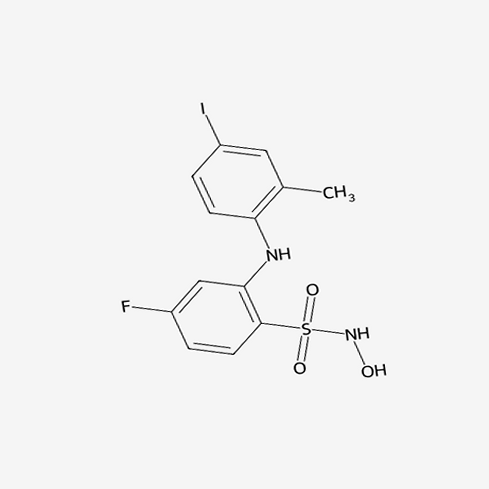 Cc1cc(I)ccc1Nc1cc(F)ccc1S(=O)(=O)NO